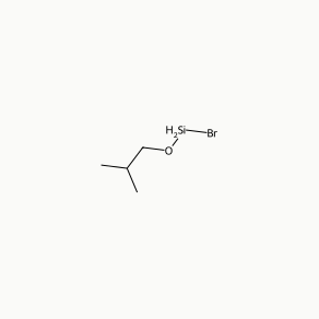 CC(C)CO[SiH2]Br